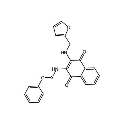 O=C1C(NCc2ccco2)=C(NSOc2ccccc2)C(=O)c2ccccc21